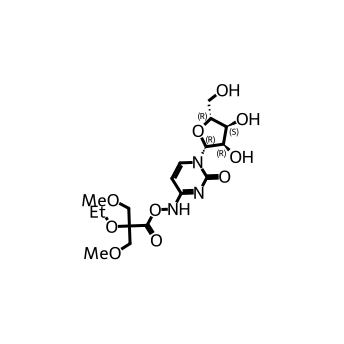 CCOC(COC)(COC)C(=O)ONc1ccn([C@@H]2O[C@H](CO)[C@@H](O)[C@H]2O)c(=O)n1